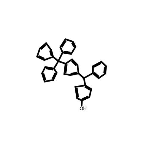 Oc1ccc([C](c2ccccc2)c2ccc(C(c3ccccc3)(c3ccccc3)c3ccccc3)cc2)cc1